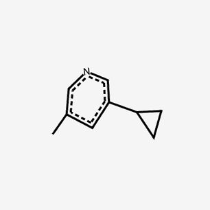 Cc1cncc(C2CC2)c1